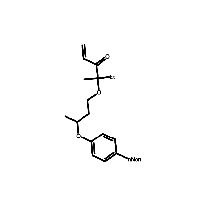 C=CC(=O)C(C)(CC)OCCC(C)Oc1ccc(CCCCCCCCC)cc1